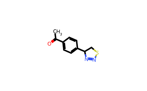 CC(=O)c1ccc(C2CSN=N2)cc1